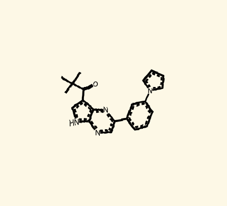 CC(C)(C)C(=O)c1c[nH]c2ncc(-c3cccc(-n4cccc4)c3)nc12